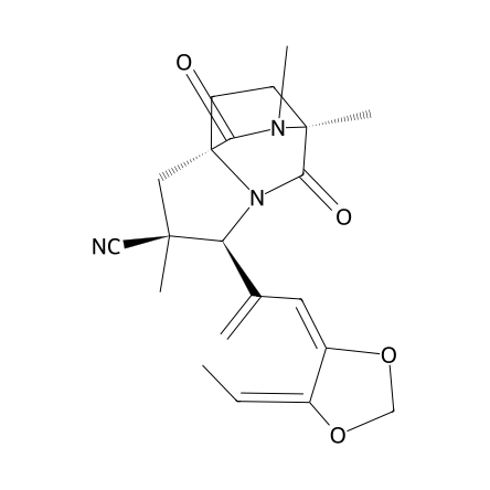 C=C(/C=C1/OCO/C1=C/C)[C@@H]1N2C(=O)[C@]3(C)CC[C@@]2(C[C@]1(C)C#N)C(=O)N3C